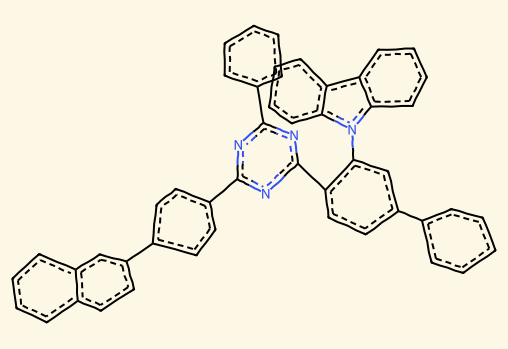 c1ccc(-c2ccc(-c3nc(-c4ccccc4)nc(-c4ccc(-c5ccc6ccccc6c5)cc4)n3)c(-n3c4ccccc4c4ccccc43)c2)cc1